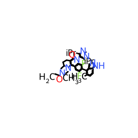 C=CC(=O)N1CC2CCc3c(c4cc(F)c(-c5c(C)ccc6[nH]ncc56)c(F)c4n(-c4c(C(C)C)ncnc4C(C)C)c3=O)N2CC1C